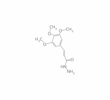 COc1cc(/C=C/C(=O)NN)cc(OC)c1OC